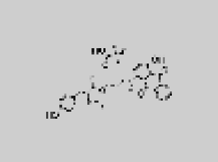 N[C@@H](Cc1ccc(O)cc1)C(=O)OCCCNc1ccc(O)c2c1C(=O)c1ccccc1C2=O.O=C(O)C(F)(F)F